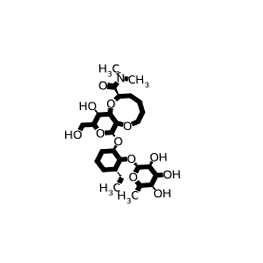 CC[C@@H]1CCC[C@@H](O[C@@H]2OC(CO)[C@H](O)C3O[C@@H](C(=O)N(C)C)CCCCOC32)C1O[C@@H]1OC(C)[C@@H](O)C(O)[C@@H]1O